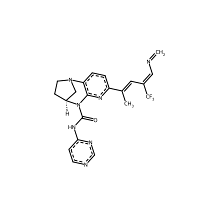 C=N/C=C(\C=C(/C)c1ccc2c(n1)N(C(=O)Nc1ccncn1)[C@H]1CCN2C1)C(F)(F)F